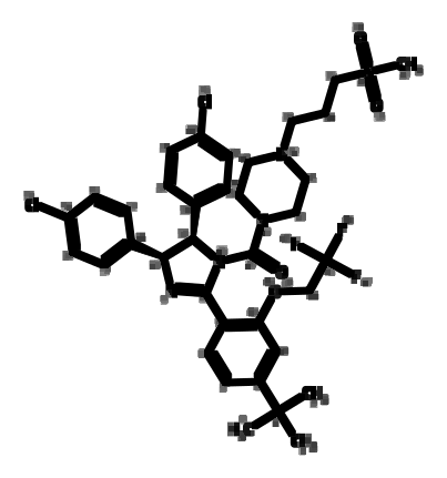 CC(C)(C)c1ccc(C2=N[C@@H](c3ccc(Cl)cc3)[C@@H](c3ccc(Cl)cc3)N2C(=O)N2CCN(CCCS(C)(=O)=O)CC2)c(OCC(F)(F)F)c1